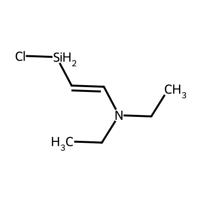 CCN(C=C[SiH2]Cl)CC